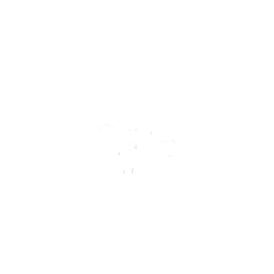 CCCO[Si](OCCC)(OCCC)C(C)Br